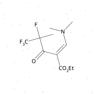 CCOC(=O)C(=CN(C)C)C(=O)C(C)(F)C(F)(F)F